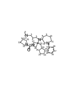 CN(C)CCCN(C1CCCCN(c2ccccc2)C1)C1(CC2CCCC2)CN(C(=O)N2CCCC2)C1